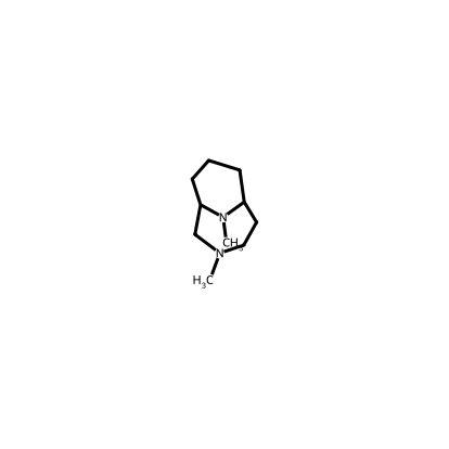 CN1CCC2CCCC(C1)N2C